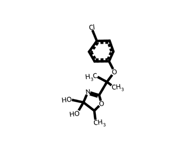 CC1OC(C(C)(C)Oc2ccc(Cl)cc2)=NC1(O)O